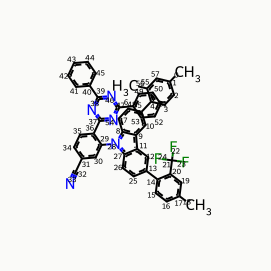 Cc1ccc(-c2ccc3c(c2)c2cc(-c4ccc(C)cc4C(F)(F)F)ccc2n3-c2cc(C#N)ccc2-c2nc(-c3ccccc3)nc(-c3ccccc3)n2)c(C)c1